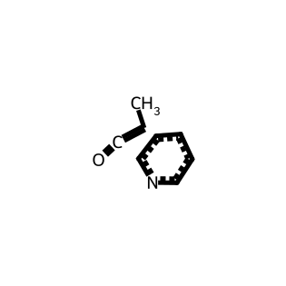 CC=C=O.c1ccncc1